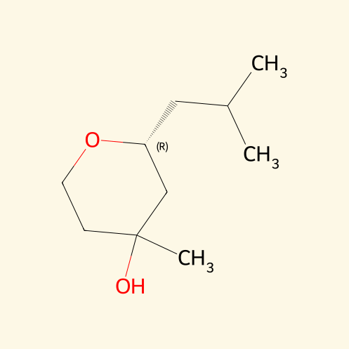 CC(C)C[C@@H]1CC(C)(O)CCO1